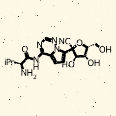 CC(C)[C@H](N)C(=O)Nc1ncnn2c([C@]3(C#N)O[C@H](CO)[C@@H](O)[C@H]3O)ccc12